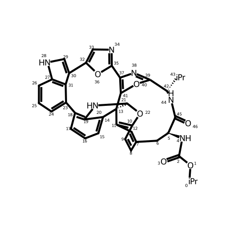 CC(C)OC(=O)N[C@H]1Cc2ccc3c(c2)[C@]24c5cccc(c5NC2O3)-c2cccc3[nH]cc(c23)-c2cnc(o2)-c2nc(oc24)[C@H](C(C)C)NC1=O